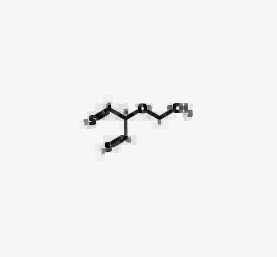 CCOC(C=S)C=S